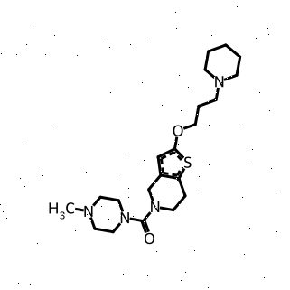 CN1CCN(C(=O)N2CCc3sc(OCCCN4CCCCC4)cc3C2)CC1